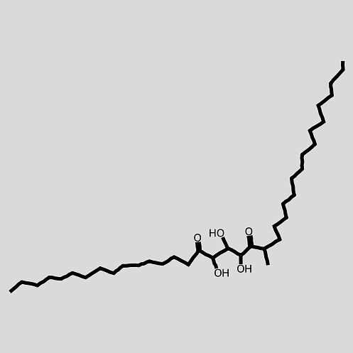 CCCCCCCCCCCCCCCCC(C)C(=O)C(O)C(O)C(O)C(=O)CCCCCCCCCCCCCCC